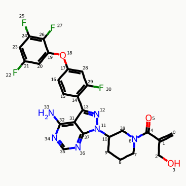 C=C(CO)C(=O)N1CCCC(n2nc(-c3ccc(Oc4cc(F)cc(F)c4F)cc3F)c3c(N)ncnc32)C1